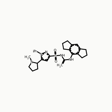 C=C(Nc1c2c(cc3c1CCC3)CCC2)NS(=O)(=O)c1cc(C2CCCN2C)n(C(C)C)n1